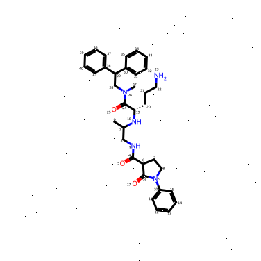 CC(CNC(=O)C1CCN(c2ccccc2)C1=O)N[C@@H](CCCN)C(=O)N(C)CC(c1ccccc1)c1ccccc1